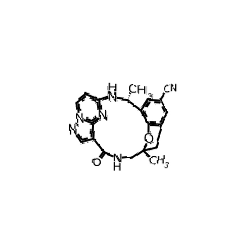 C[C@H]1Nc2ccn3ncc(c3n2)C(=O)NCC2(C)Cc3cc(C#N)cc1c3O2